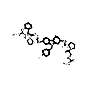 COC(=O)NCC(=O)N1CCC[C@H]1C(=O)Nc1ccc2c3ccc(NC(=O)[C@@H]4CCCN4C(=O)[C@H](NC(=O)OC)c4ccccc4)cc3n(Cc3ccc(C(F)(F)F)cc3)c2c1